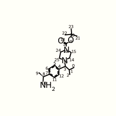 CC(C)C(c1ccc([C@H](C)N)cc1)N1CCN(C(=O)OC(C)(C)C)CC1